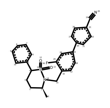 C[C@H]1CCC(c2ccccc2)S(=O)(=O)N1Cc1ccc(-c2ccc(C#N)cc2)cc1F